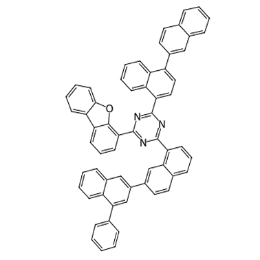 c1ccc(-c2cc(-c3ccc4cccc(-c5nc(-c6ccc(-c7ccc8ccccc8c7)c7ccccc67)nc(-c6cccc7c6oc6ccccc67)n5)c4c3)cc3ccccc23)cc1